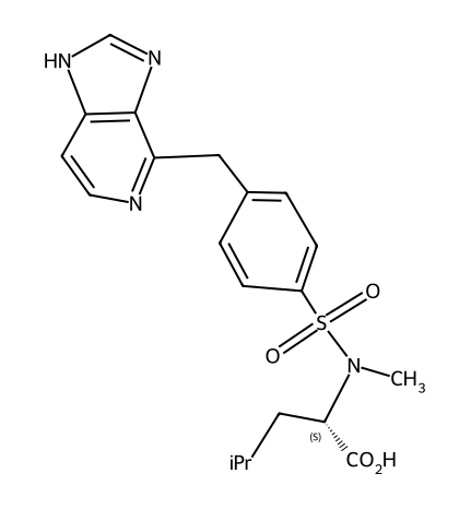 CC(C)C[C@@H](C(=O)O)N(C)S(=O)(=O)c1ccc(Cc2nccc3[nH]cnc23)cc1